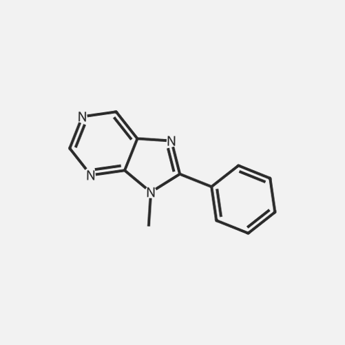 Cn1c(-c2ccccc2)nc2cncnc21